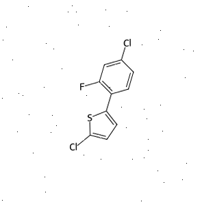 Fc1cc(Cl)ccc1-c1ccc(Cl)s1